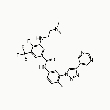 Cc1ccc(NC(=O)c2cc(NCCN(C)C)c(F)c(C(F)(F)F)c2)cc1-n1cc(-c2cncnc2)nn1